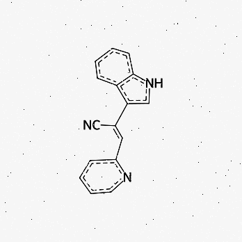 N#C/C(=C\c1ccccn1)c1c[nH]c2ccccc12